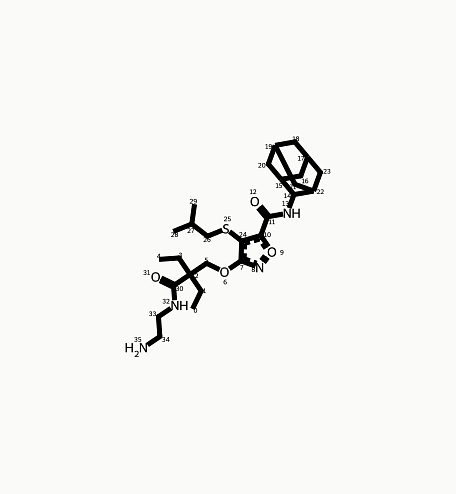 CCC(CC)(COc1noc(C(=O)NC2C3CC4CC(C3)CC2C4)c1SCC(C)C)C(=O)NCCN